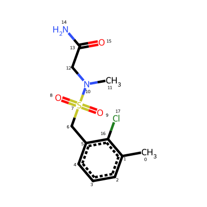 Cc1cccc(CS(=O)(=O)N(C)CC(N)=O)c1Cl